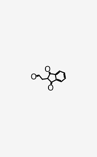 O=CCC1C(=O)c2ccccc2C1=O